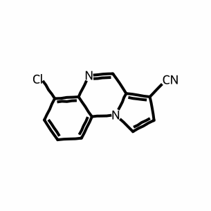 N#Cc1ccn2c1cnc1c(Cl)cccc12